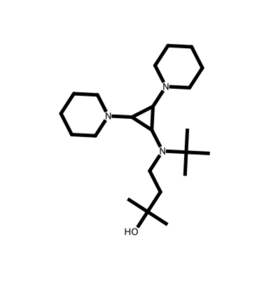 CC(C)(O)CCN(C1C(N2CCCCC2)C1N1CCCCC1)C(C)(C)C